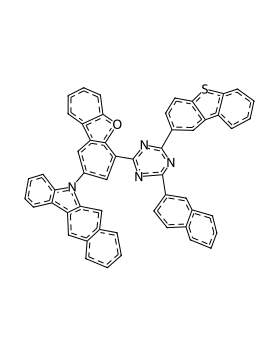 c1ccc2cc(-c3nc(-c4ccc5sc6ccccc6c5c4)nc(-c4cc(-n5c6ccccc6c6cc7ccccc7cc65)cc5c4oc4ccccc45)n3)ccc2c1